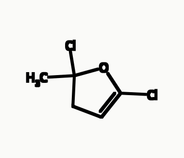 CC1(Cl)CC=C(Cl)O1